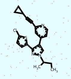 CCC(C)n1cc(-c2ccnc(C#CC3CC3)c2)c(-c2ccc(Cl)s2)n1